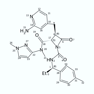 CC[C@@H](NC(=O)N1C(=O)[C@H](Cc2ccnc(N)c2)[C@H]1C(=O)N(C)c1ccn(C)n1)c1ccc(C)cc1